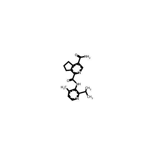 Cc1ccnc(C(C)C)c1NC(=O)c1ncc(C(N)=O)c2c1CCC2